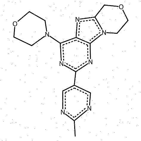 Cc1ncc(-c2nc(N3CCOCC3)c3nc4n(c3n2)CCOC4)cn1